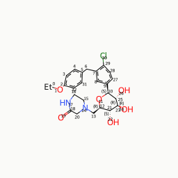 CCOc1ccc(Cc2cc([C@@H]3O[C@H](CN4CCNC(=O)C4)[C@@H](O)[C@H](O)[C@H]3O)ccc2Cl)cc1